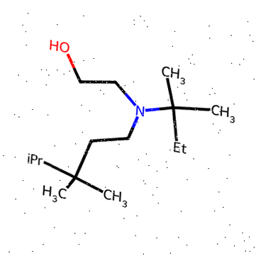 CCC(C)(C)N(CCO)CCC(C)(C)C(C)C